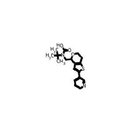 CC(C)(C)N(CC1OCCc2sc(-c3cccnc3)cc21)C(=O)O